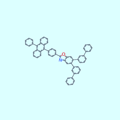 c1ccc(-c2cccc(-c3cc4nc(-c5ccc(-c6c7ccccc7c(-c7ccccc7)c7ccccc67)cc5)oc4cc3-c3cccc(-c4ccccc4)c3)c2)cc1